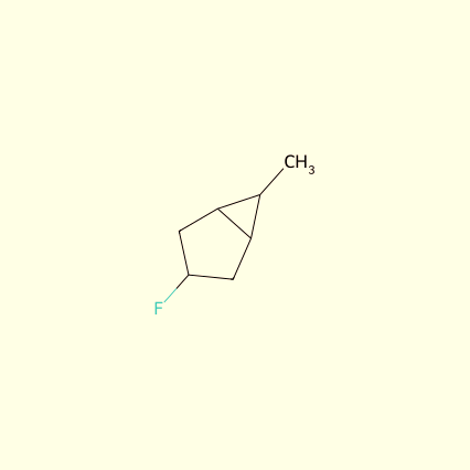 CC1C2CC(F)CC12